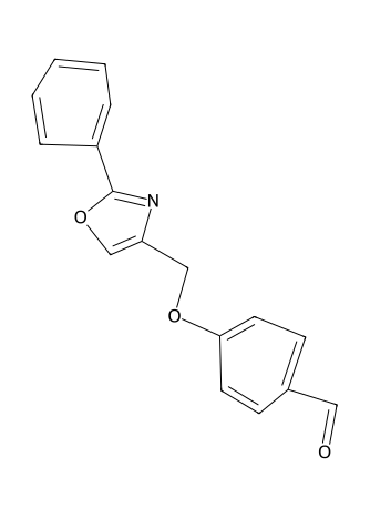 O=Cc1ccc(OCc2coc(-c3ccccc3)n2)cc1